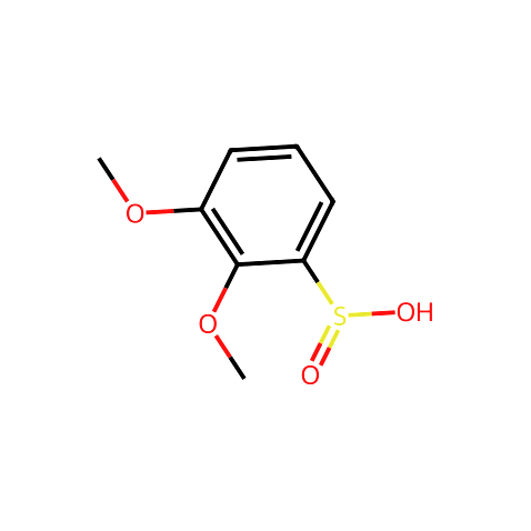 COc1cccc(S(=O)O)c1OC